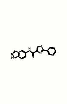 O=C(Nc1ccc2[nH]ncc2c1)c1csc(-c2ccccc2)n1